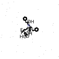 O=C1N(Cc2ccccc2)C[C@H](/C=C/C(O)Cc2ccccc2)N1CCCC(F)(F)SCP(=O)(O)O